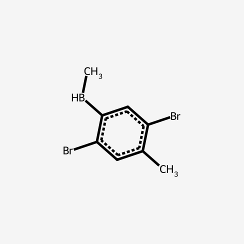 CBc1cc(Br)c(C)cc1Br